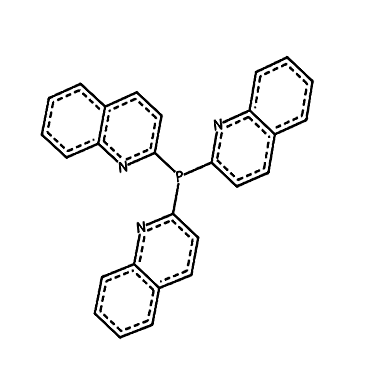 c1ccc2nc(P(c3ccc4ccccc4n3)c3ccc4ccccc4n3)ccc2c1